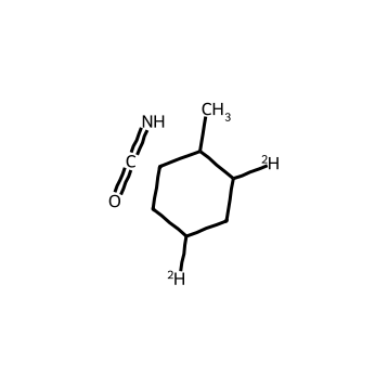 N=C=O.[2H]C1CCC(C)C([2H])C1